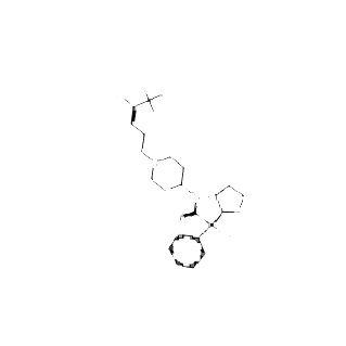 CC(=CCCN1CCC(NC(=O)C(O)(c2ccccc2)C2CCCC2)CC1)C(F)(F)F